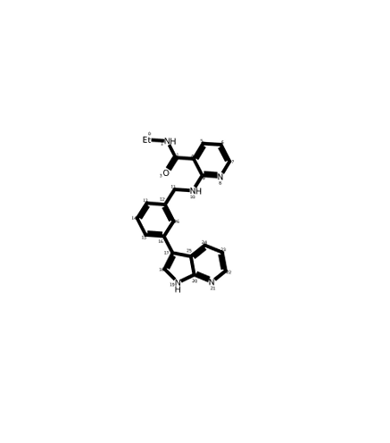 CCNC(=O)c1cccnc1NCc1cccc(-c2c[nH]c3ncccc23)c1